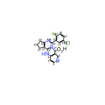 O=C(O)c1cnccc1Nc1nc(-c2cc(Cl)ccc2F)nc2c1CCC2